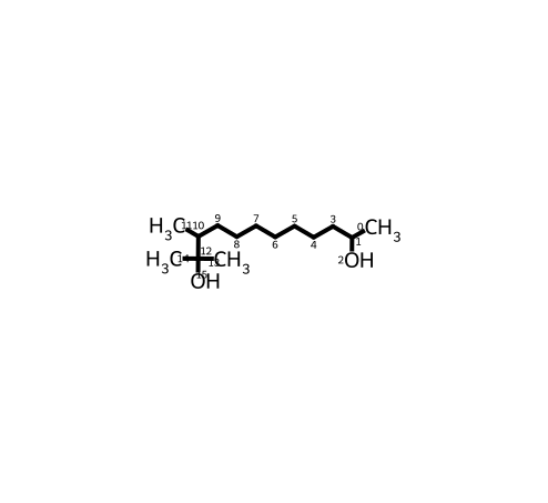 CC(O)CCCCCCCC(C)C(C)(C)O